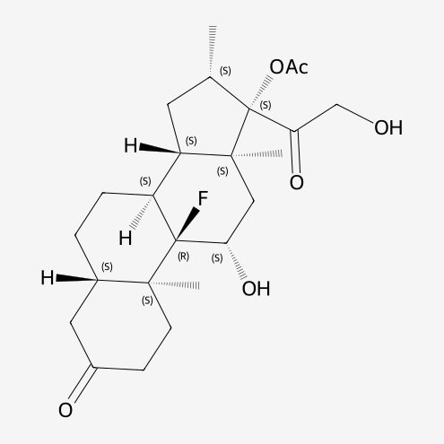 CC(=O)O[C@@]1(C(=O)CO)[C@@H](C)C[C@H]2[C@@H]3CC[C@H]4CC(=O)CC[C@]4(C)[C@@]3(F)[C@@H](O)C[C@@]21C